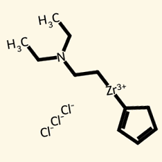 CCN(CC)C[CH2][Zr+3][C]1=CC=CC1.[Cl-].[Cl-].[Cl-]